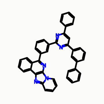 c1ccc(-c2cccc(-c3cc(-c4ccccc4)nc(-c4cccc(-c5nc6c(nc7ccccn76)c6ccccc56)c4)n3)c2)cc1